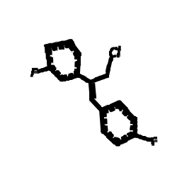 Fc1ccc(/C=C(\CCl)c2cccc(F)c2)cc1